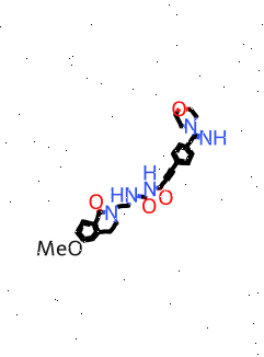 COc1ccc2c(c1)CCN(CCNC(=O)NC(=O)C#Cc1ccc(C(=N)N3CCOCC3)cc1)C2=O